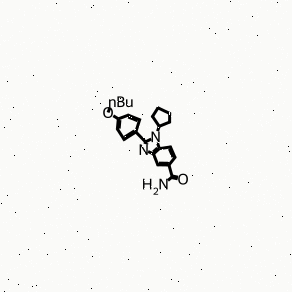 CCCCOc1ccc(-c2nc3cc(C(N)=O)ccc3n2C2CCCC2)cc1